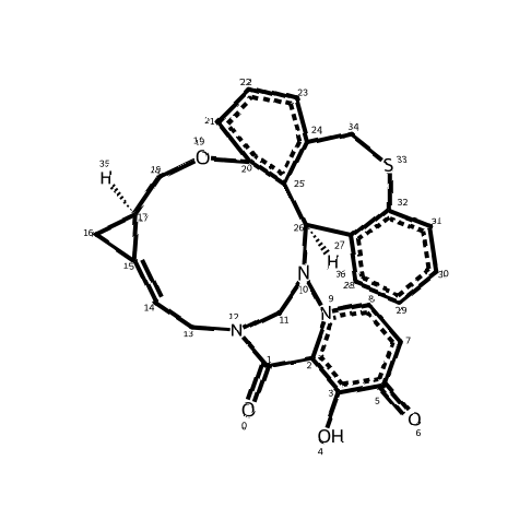 O=C1c2c(O)c(=O)ccn2N2CN1C/C=C1/C[C@H]1COc1cccc3c1[C@H]2c1ccccc1SC3